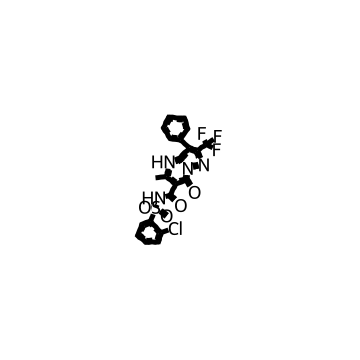 Cc1[nH]c2c(-c3ccccc3)c(C(F)(F)F)nn2c(=O)c1C(=O)NS(=O)(=O)c1ccccc1Cl